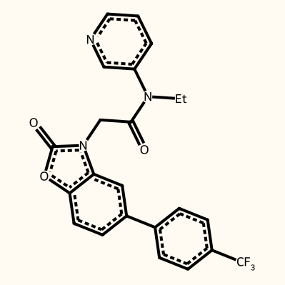 CCN(C(=O)Cn1c(=O)oc2ccc(-c3ccc(C(F)(F)F)cc3)cc21)c1cccnc1